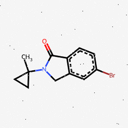 CC1(N2Cc3cc(Br)ccc3C2=O)CC1